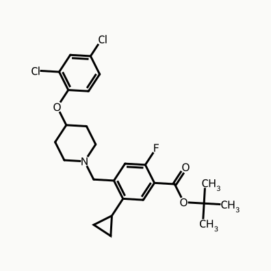 CC(C)(C)OC(=O)c1cc(C2CC2)c(CN2CCC(Oc3ccc(Cl)cc3Cl)CC2)cc1F